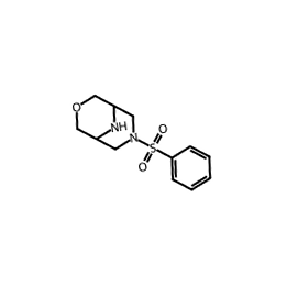 O=S(=O)(c1ccccc1)N1CC2COCC(C1)N2